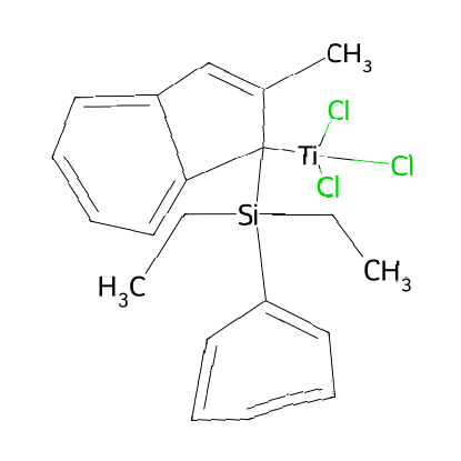 CC[Si](CC)(c1ccccc1)[C]1([Ti]([Cl])([Cl])[Cl])C(C)=Cc2ccccc21